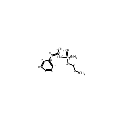 CCCSP(N)(=O)NC(C)=Nc1ccccc1